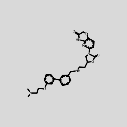 CN(C)CCOc1cccc(-c2cccc(CNCCC3CN(c4ccc5c(n4)NC(=O)CO5)C(=O)O3)c2)c1